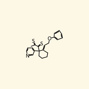 CC(=S)C(=S)C1(c2cccnc2)CCCCC1=CCOc1ccccc1